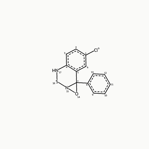 Clc1ccc2c(c1)C1(c3ccccc3)ON1SN2